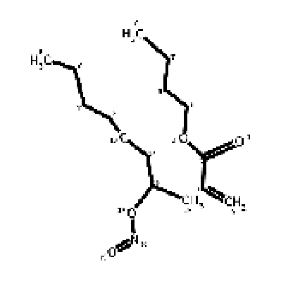 C=CC(=O)OCCCC.CCCCCCC(C)ON=O